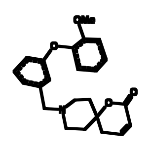 COc1ccccc1Oc1cccc(CN2CCC3(CC=CC(=O)O3)CC2)c1